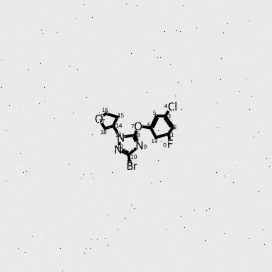 FC1C=C(Cl)C=C(Oc2nc(Br)nn2C2CCOC2)C1